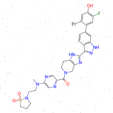 CCc1cc(O)c(F)cc1-c1ccc2c(-c3nc4c([nH]3)CCN(C(=O)c3cnc(N(C)CCN5CCCS5(=O)=O)cn3)C4)n[nH]c2c1